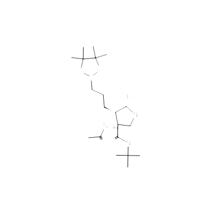 CC(=O)N[C@@]1(C(=O)NC(C)(C)C)CNC[C@@H]1CCCB1OC(C)(C)C(C)(C)O1.Cl